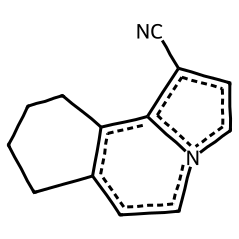 N#Cc1ccn2ccc3c(c12)CCCC3